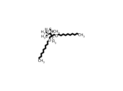 CCCCCCCCCCOCC(C)(COCCCCCCCCCC)C(N(C)C)N(C)C